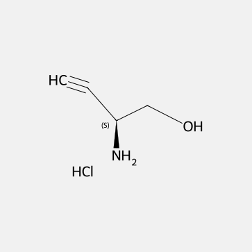 C#C[C@H](N)CO.Cl